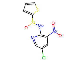 O=[N+]([O-])c1cc(Cl)cnc1N[S+]([O-])c1cccs1